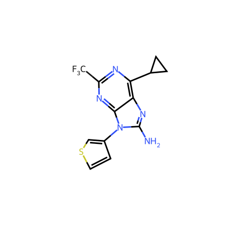 Nc1nc2c(C3CC3)nc(C(F)(F)F)nc2n1-c1ccsc1